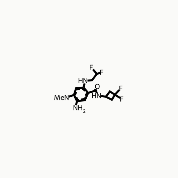 CNc1cc(NCC(F)F)c(C(=O)NC2CC(F)(F)C2)cc1N